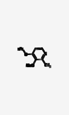 CCCOc1ccnc(C)c1OC